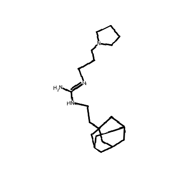 NC(=NCCCN1CCCC1)NCCC12CC3CC(CC(C3)C1)C2